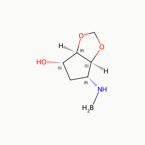 BN[C@@H]1C[C@H](O)[C@H]2OCO[C@H]21